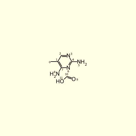 Cc1cnc(N)nc1N.O=CO